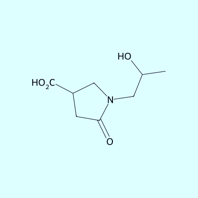 CC(O)CN1CC(C(=O)O)CC1=O